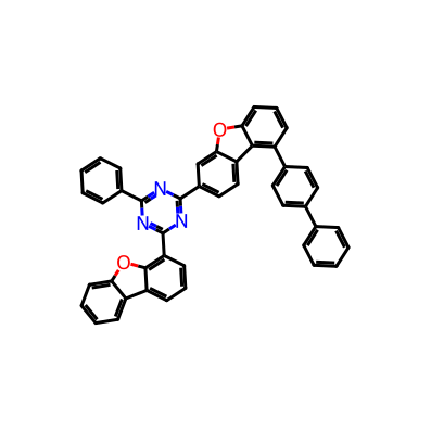 c1ccc(-c2ccc(-c3cccc4oc5cc(-c6nc(-c7ccccc7)nc(-c7cccc8c7oc7ccccc78)n6)ccc5c34)cc2)cc1